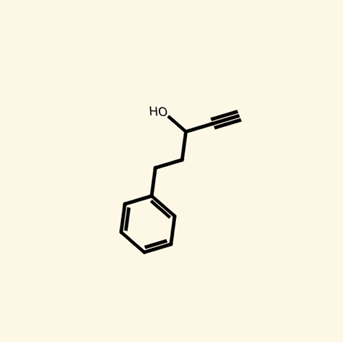 C#CC(O)CCc1ccccc1